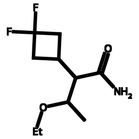 CCOC(C)C(C(N)=O)C1CC(F)(F)C1